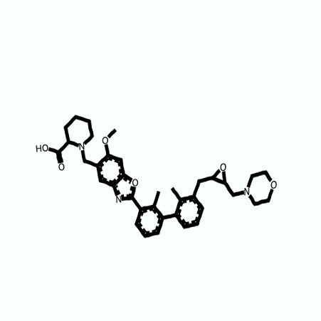 COc1cc2oc(-c3cccc(-c4cccc(CC5OC5CN5CCOCC5)c4C)c3C)nc2cc1CN1CCCCC1C(=O)O